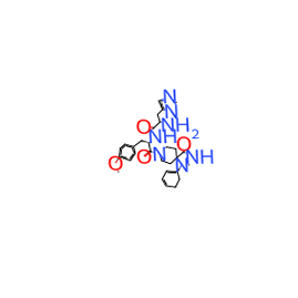 COc1ccc(C[C@@H](NC(=O)[C@@H](N)Cc2cncn2C)C(=O)N2CCC3(CC2)C(=O)NCN3C2=CC=CCC2)cc1